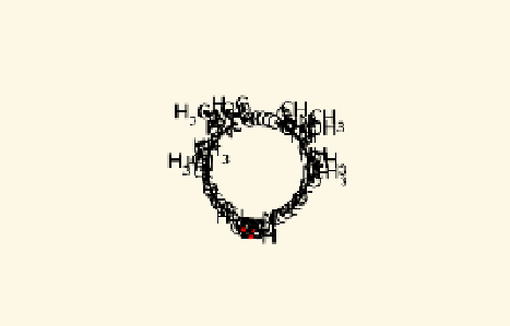 C=C1C[C@H]2CN3C(=O)CNC(=O)[C@H](C(C)C)NC(=O)CCOCCOCCNC(=O)C(N4C(=O)C=CC4=O)C(N4C(=O)C=CC4=O)C(=O)NCCOCCOCCC(=O)N[C@@H](C(C)C)C(=O)NCC(=O)Nc4cc(c(OC)cc4C(=O)NC(C)O)OCCCOc4cc3c(cc4OC)C(=O)N2C1